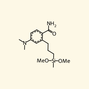 CO[Si](C)(CCCc1cc(N(C)C)ccc1C(N)=O)OC